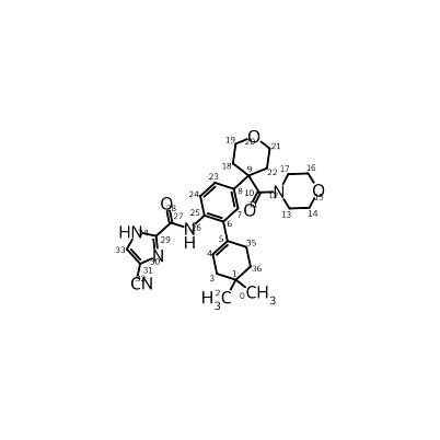 CC1(C)CC=C(c2cc(C3(C(=O)N4CCOCC4)CCOCC3)ccc2NC(=O)c2nc(C#N)c[nH]2)CC1